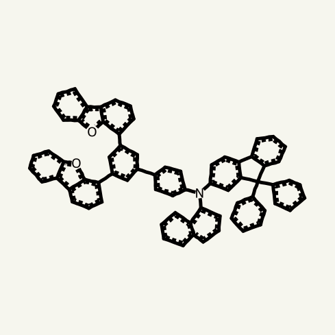 c1ccc(C2(c3ccccc3)c3ccccc3-c3ccc(N(c4ccc(-c5cc(-c6cccc7c6oc6ccccc67)cc(-c6cccc7c6oc6ccccc67)c5)cc4)c4cccc5ccccc45)cc32)cc1